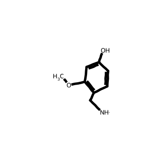 COc1cc(O)ccc1C[NH]